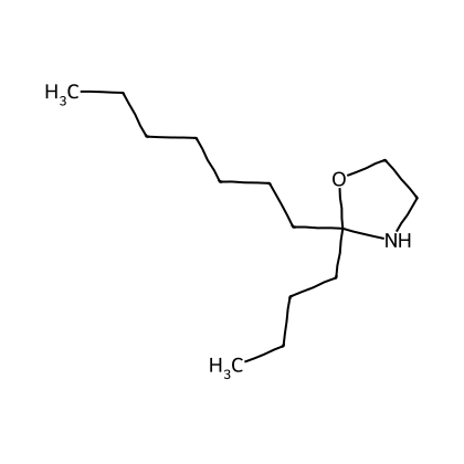 CCCCCCCC1(CCCC)NCCO1